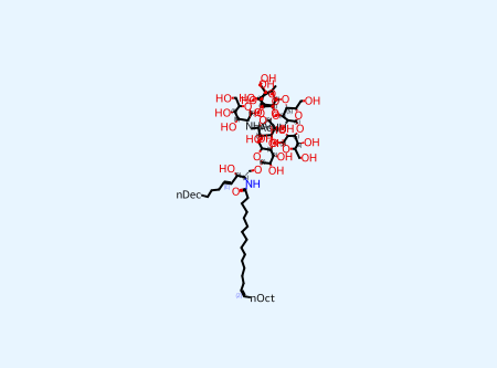 CCCCCCCC/C=C\CCCCCCCCCCCCCC(=O)N[C@@H](CO[C@@H]1OC(CO)[C@@H](O[C@@H]2OC(CO)[C@H](O)[C@H](O[C@@H]3OC(CO)[C@@H](O[C@@H]4OC(CO)[C@H](O)[C@H](O[C@H]5OC(CO)[C@H](O)[C@H](O)C5NC(C)=O)C4O[C@H]4OC(C)[C@@H](O)C(O)[C@@H]4O)[C@H](O[C@H]4OC(C)[C@@H](O)C(O)[C@@H]4O)C3NC(C)=O)C2O)[C@H](O)C1O)[C@H](O)/C=C/CCCCCCCCCCCCC